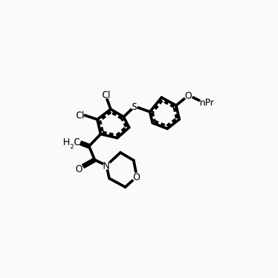 C=C(C(=O)N1CCOCC1)c1ccc(Sc2cccc(OCCC)c2)c(Cl)c1Cl